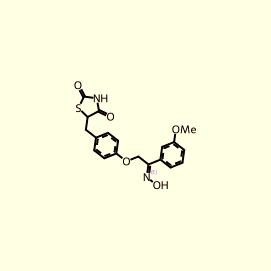 COc1cccc(/C(COc2ccc(CC3SC(=O)NC3=O)cc2)=N\O)c1